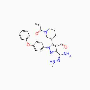 C=CC(=O)N1CCCC(c2c(C=O)c(/C(N)=N\NC)nn2-c2ccc(Oc3ccccc3)cc2)C1